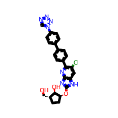 OC[C@H]1CC[C@@H](Oc2nc3nc(-c4ccc(-c5ccc(-n6cnnn6)cc5)cc4)c(Cl)cc3[nH]2)[C@@H]1O